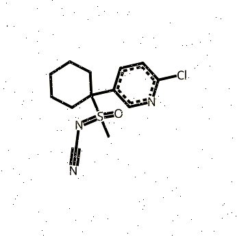 CS(=O)(=NC#N)C1(c2ccc(Cl)nc2)CCCCC1